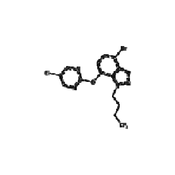 FC(F)(F)CCCn1ncc2c(Br)ccc(Oc3ncc(Cl)cn3)c21